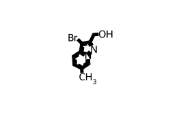 Cc1ccc2c(Br)c(CO)nn2c1